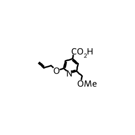 C=CCOc1cc(C(=O)O)cc(COC)n1